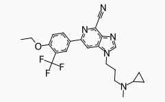 CCOc1ccc(-c2cc3c(ncn3CCCN(C)C3CC3)c(C#N)n2)cc1C(F)(F)F